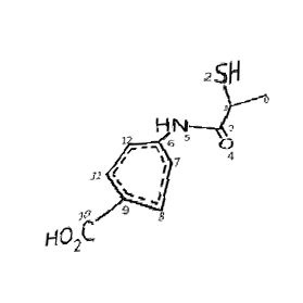 CC(S)C(=O)Nc1ccc(C(=O)O)cc1